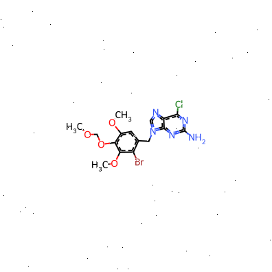 COCOc1c(OC)cc(Cn2cnc3c(Cl)nc(N)nc32)c(Br)c1OC